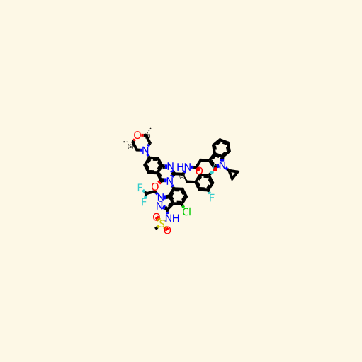 C[C@@H]1CN(c2ccc3c(=O)n(-c4ccc(Cl)c5c(NS(C)(=O)=O)nn(CC(F)F)c45)c([C@H](Cc4cc(F)cc(F)c4)NC(=O)Cc4cn(C5CC5)c5ccccc45)nc3c2)C[C@H](C)O1